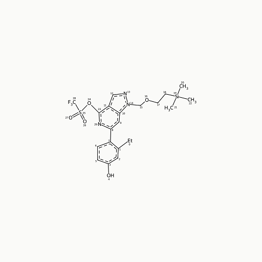 CCc1cc(O)ccc1-c1cc2c(cnn2COCC[Si](C)(C)C)c(OS(=O)(=O)C(F)(F)F)n1